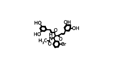 CC(=O)NC(c1cccc(Br)c1)C(C(=O)C=Cc1cc(O)cc(O)c1)C(=O)C=Cc1cc(O)cc(O)c1